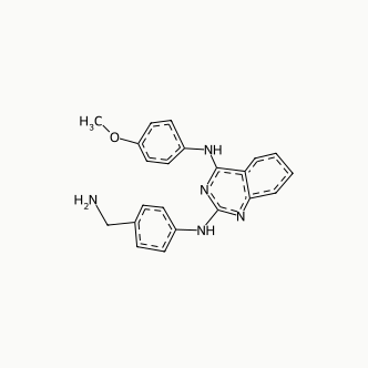 COc1ccc(Nc2nc(Nc3ccc(CN)cc3)nc3ccccc23)cc1